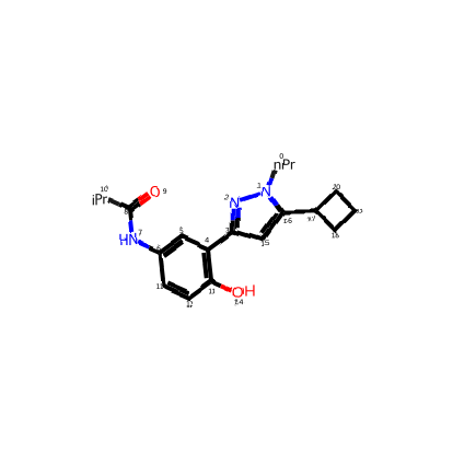 CCCn1nc(-c2cc(NC(=O)C(C)C)ccc2O)cc1C1CCC1